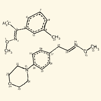 CON=C(C)c1cccc(C)c1.CON=CCc1ccc(N2CCOCC2)cc1